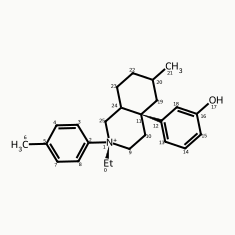 CC[N@+]1(c2ccc(C)cc2)CC[C@@]2(c3cccc(O)c3)CC(C)CCC2C1